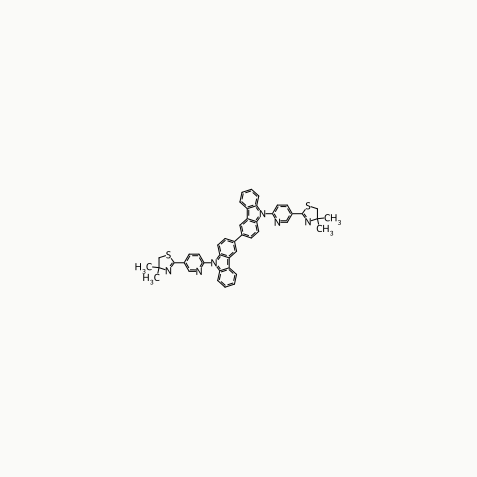 CC1(C)CSC(c2ccc(-n3c4ccccc4c4cc(-c5ccc6c(c5)c5ccccc5n6-c5ccc(C6=NC(C)(C)CS6)cn5)ccc43)nc2)=N1